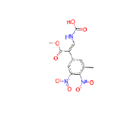 COC(=O)C(=CNC(=O)O)c1cc(C)c([N+](=O)[O-])c([N+](=O)[O-])c1